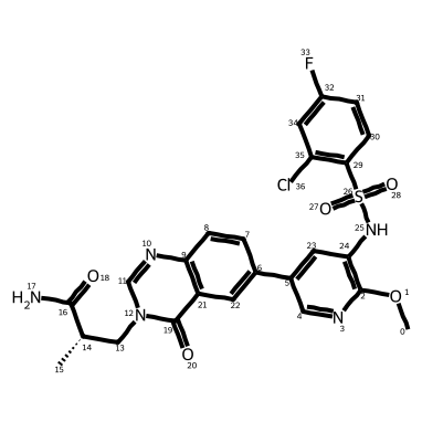 COc1ncc(-c2ccc3ncn(C[C@H](C)C(N)=O)c(=O)c3c2)cc1NS(=O)(=O)c1ccc(F)cc1Cl